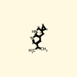 CC(C)c1cnc2c(c1)CC1(CC1)CN2